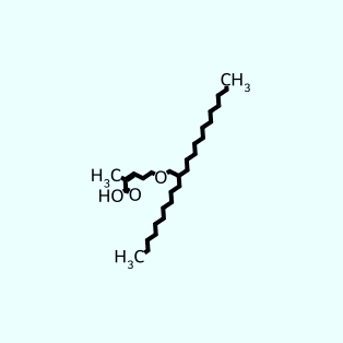 CCCCCCCCCCCCC(CCCCCCCCCC)COCCC=C(C)C(=O)O